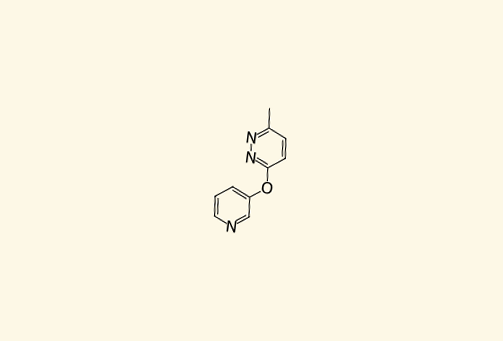 Cc1ccc(Oc2cccnc2)nn1